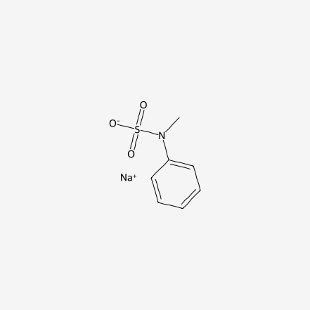 CN(c1ccccc1)S(=O)(=O)[O-].[Na+]